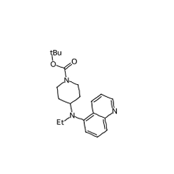 CCN(c1cccc2ncccc12)C1CCN(C(=O)OC(C)(C)C)CC1